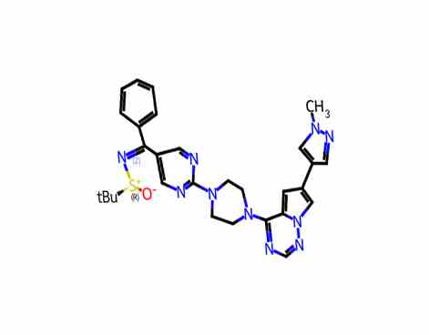 Cn1cc(-c2cc3c(N4CCN(c5ncc(/C(=N\[S@@+]([O-])C(C)(C)C)c6ccccc6)cn5)CC4)ncnn3c2)cn1